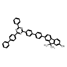 CC1(C)c2cc(C#N)ccc2-c2ccc(-c3ccc(-c4ccc(-c5nc(-c6ccccc6)nc(-c6ccc(-c7ccccc7)cc6)n5)cc4)cc3)cc21